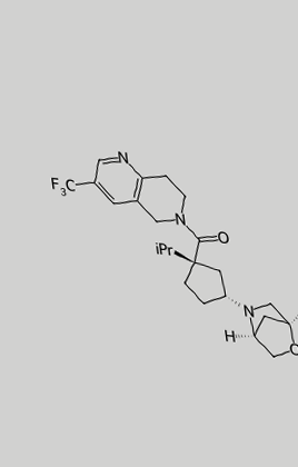 CC(C)[C@]1(C(=O)N2CCc3ncc(C(F)(F)F)cc3C2)CC[C@@H](N2C[C@@H]3C[C@H]2CO3)C1